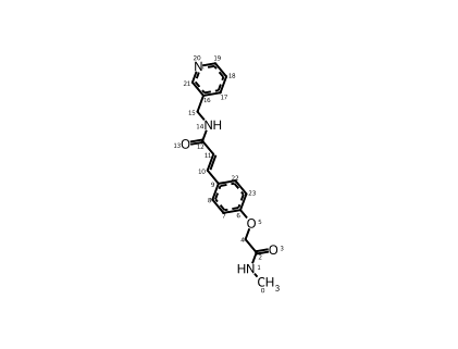 CNC(=O)COc1ccc(/C=C/C(=O)NCc2cccnc2)cc1